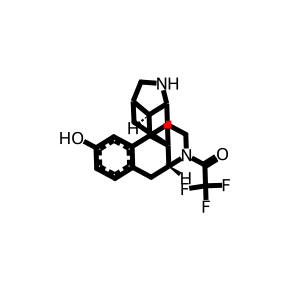 O=C(N1CCC23c4cc(O)ccc4C[C@@H]1C21CCC2NCC(C1)[C@@H]23)C(F)(F)F